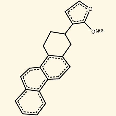 COc1occc1C1CCc2c(ccc3c2ccc2ccccc23)C1